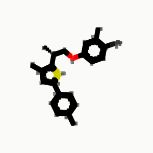 CCCc1ccc(OC[C@@H](C)c2sc(-c3ccc(C)cc3)cc2C)cc1C